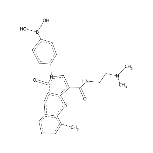 Cc1cccc2cc3c(=O)n(-c4ccc(B(O)O)cc4)cc(C(=O)NCCN(C)C)c3nc12